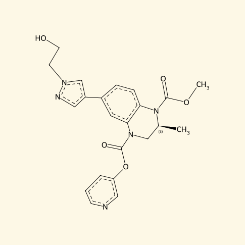 COC(=O)N1c2ccc(-c3cnn(CCO)c3)cc2N(C(=O)Oc2cccnc2)C[C@@H]1C